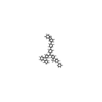 CC1(C)c2cc(-c3ccccc3)ccc2-c2ccc(N(c3ccc(-c4ccc(-c5ccc6oc7ccccc7c6c5)cc4)cc3)c3ccc(-c4ccccc4-c4ccccc4)cc3)cc21